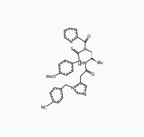 CC[C@H](C)[C@@H](CN(C(=O)c1ccccn1)C(=S)Nc1ccc(OC)cc1)NC(=O)Cc1cncn1Cc1ccc(C#N)cc1